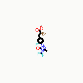 COC(=O)C(Br)Cc1ccc(-n2nc(C)n(C(F)F)c2=O)c(F)c1